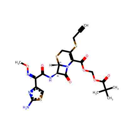 C#CCSC1=C(C(=O)OCOC(=O)C(C)(C)C)N2C(=O)[C@@H](NC(=O)/C(=N\OC)c3csc(N)n3)[C@@H]2SC1